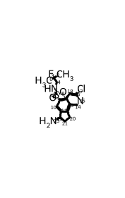 CC(C)(F)CNS(=O)(=O)c1cc2c(c3cnc(Cl)cc13)CCC2N